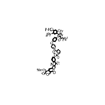 CCNC(=O)c1nnc(-c2cc(C(C)C)c(O)cc2O)n1-c1ccc(OC2CCN(C(=O)C3CCCN3C(=O)Oc3ccc4nc5c(c(CC)c4c3)Cn3c-5cc4c(c3=O)COC(=O)C4OC)CC2)cc1